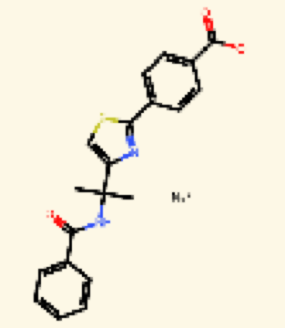 CC(C)(NC(=O)c1ccccc1)c1csc(-c2ccc(C(=O)[O-])cc2)n1.[Na+]